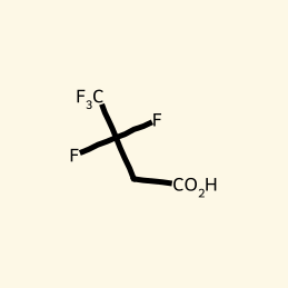 O=C(O)CC(F)(F)C(F)(F)F